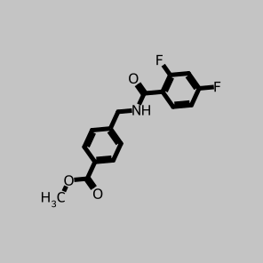 COC(=O)c1ccc(CNC(=O)c2ccc(F)cc2F)cc1